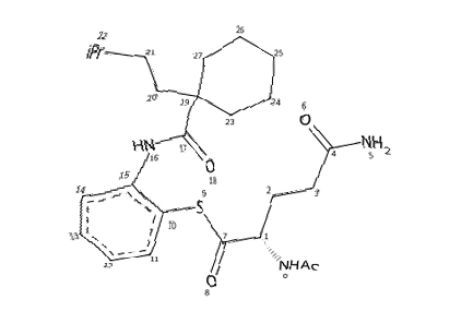 CC(=O)N[C@@H](CCC(N)=O)C(=O)Sc1ccccc1NC(=O)C1(CCC(C)C)CCCCC1